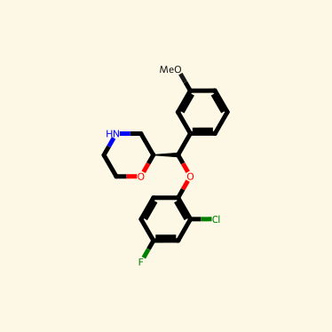 COc1cccc(C(Oc2ccc(F)cc2Cl)[C@@H]2CNCCO2)c1